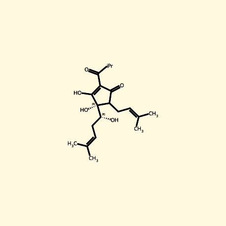 CC(C)=CCC1C(=O)C(C(=O)C(C)C)=C(O)[C@]1(O)[C@H](O)CC=C(C)C